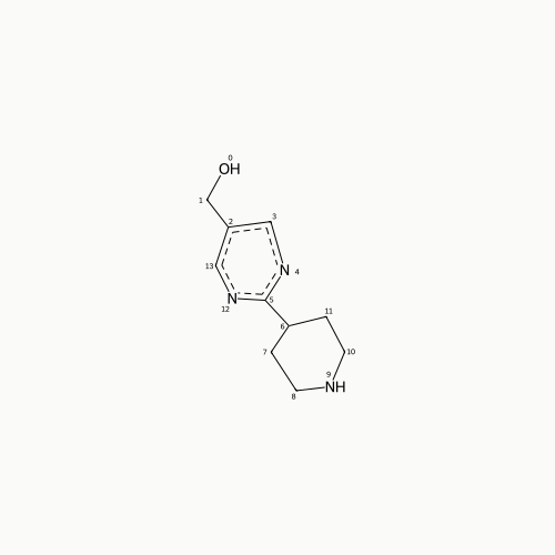 OCc1cnc(C2CCNCC2)nc1